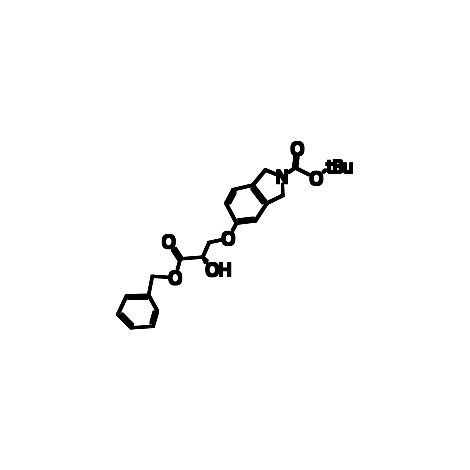 CC(C)(C)OC(=O)N1Cc2ccc(OC[C@@H](O)C(=O)OCc3ccccc3)cc2C1